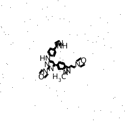 Cn1nc(CCN2CCOCC2)c2ccc(-c3cc(Nc4ccc(-c5ccn[nH]5)cc4)nc(N4CCOCC4)n3)cc21